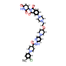 N#Cc1ccc(N2CCC(C(=O)Nc3ccc(N4CCC(OCCN5CCN(c6ccc7c(c6)C(=O)N(C6CCC(=O)NC6=O)C7=O)CC5)CC4)cn3)CC2)cc1Cl